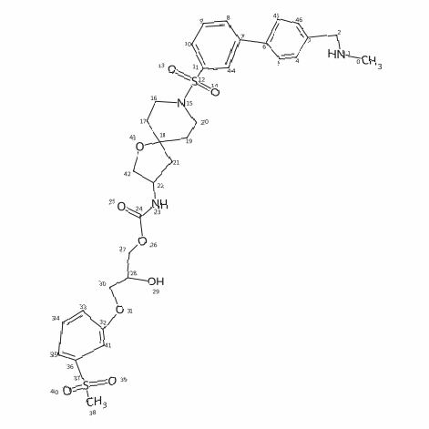 CNCc1ccc(-c2cccc(S(=O)(=O)N3CCC4(CC3)CC(NC(=O)OCC(O)COc3cccc(S(C)(=O)=O)c3)CO4)c2)cc1